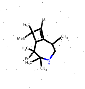 CCC1=C2C(C)CNC(C)(C)C(C)(CC)C2C1(C)SC